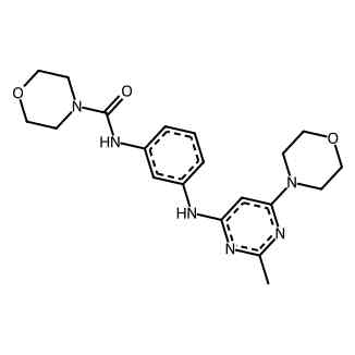 Cc1nc(Nc2cccc(NC(=O)N3CCOCC3)c2)cc(N2CCOCC2)n1